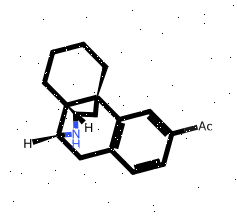 CC(=O)c1ccc2c(c1)[C@@]13CCCC[C@H]1[C@@H](C2)NCC3